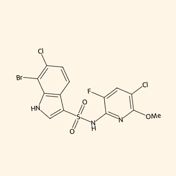 COc1nc(NS(=O)(=O)c2c[nH]c3c(Br)c(Cl)ccc23)c(F)cc1Cl